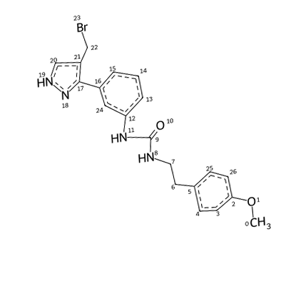 COc1ccc(CCNC(=O)Nc2cccc(-c3n[nH]cc3CBr)c2)cc1